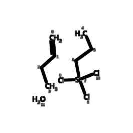 C=CCC.CCC[Si](Cl)(Cl)Cl.O